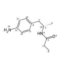 CCC(=O)N[C@@H](C)Cc1ccc(N)cc1